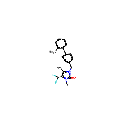 CCCc1c(C(F)F)n(CC)c(=O)n1Cc1ccc(-c2ccccc2C(=O)O)cc1